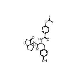 O=C(NC(Cc1ccc(O)cc1)C(=O)NC12CCCC1OCC2=O)c1ccc(OC(F)F)cc1